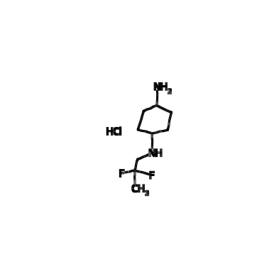 CC(F)(F)CNC1CCC(N)CC1.Cl